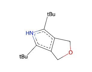 CC(C)(C)c1[nH]c(C(C)(C)C)c2c1COC2